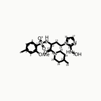 COc1cc(C)ccc1S(=O)(=O)NC(CCn1ccnc1NO)C(=O)N1CCC(C)CC1